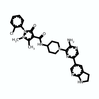 Cc1c(C(=O)NC2CCN(c3nc(-c4cnc5c(c4)CCN5)cnc3N)CC2)c(=O)n(-c2ccccc2Cl)n1C